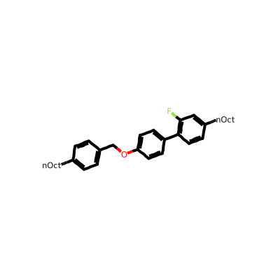 CCCCCCCCc1ccc(COc2ccc(-c3ccc(CCCCCCCC)cc3F)cc2)cc1